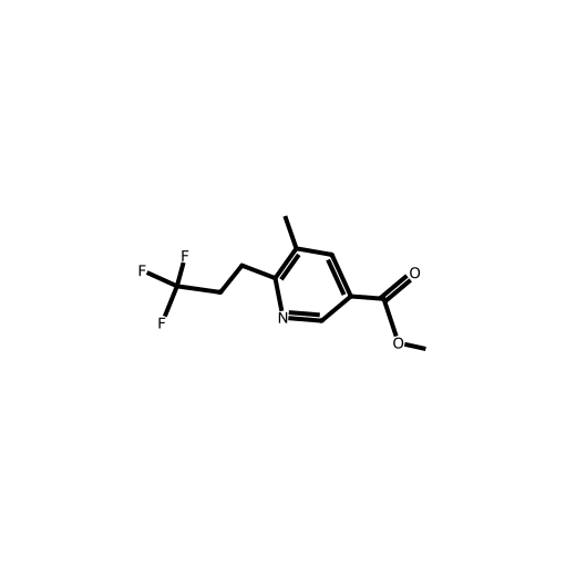 COC(=O)c1cnc(CCC(F)(F)F)c(C)c1